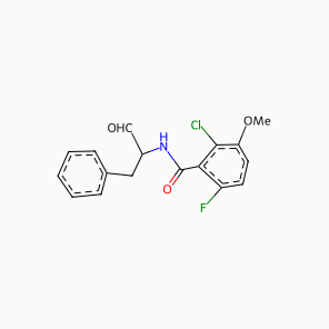 COc1ccc(F)c(C(=O)NC(C=O)Cc2ccccc2)c1Cl